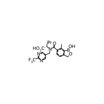 Cc1c(C(=O)N(Cc2cnc(C(F)(F)F)nc2)[C@H](C(=O)O)C(C)C)ccc2c1B(O)OC2